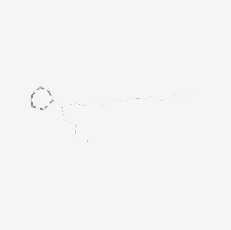 CCOCCOCCOCCOCOC(CCCO)c1ccccc1